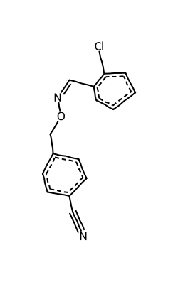 N#Cc1ccc(CO/N=[C]\c2ccccc2Cl)cc1